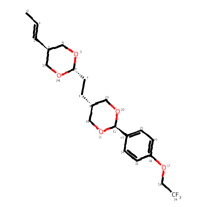 CC=C[C@H]1CO[C@H](CC[C@H]2CO[C@H](c3ccc(OCC(F)(F)F)cc3)OC2)OC1